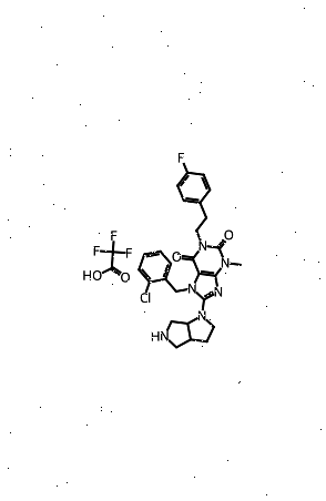 Cn1c(=O)n(CCc2ccc(F)cc2)c(=O)c2c1nc(N1CCC3CNCC31)n2Cc1ccccc1Cl.O=C(O)C(F)(F)F